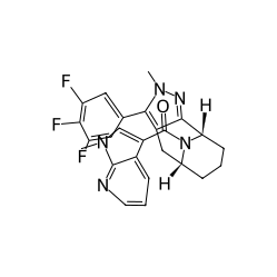 Cn1nc2c(c1-c1cc(F)c(F)c(F)c1)C[C@H]1CCC[C@@H]2N1C(=O)c1cn(C)c2ncccc12